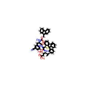 CC(C)[C@@H](NC(=O)C(CSC(c1ccccc1)(c1ccccc1)c1ccccc1)NC(=O)C(Cc1cccc(C#N)c1)NC(=O)OCC1c2ccccc2-c2ccccc21)[C@@H](O)CC(=O)O